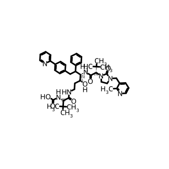 Cc1ncccc1CN1CCN([C@H](C(=O)N[C@@H](C(Cc2ccc(-c3ccccn3)cc2)c2ccccc2)[C@@H](O)CCNC(=O)[C@@H](NC(=O)O)C(C)(C)C)C(C)(C)C)C1=O